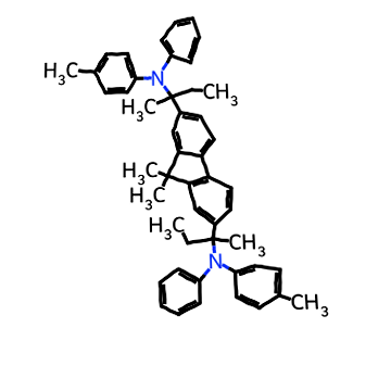 CCC(C)(c1ccc2c(c1)C(C)(C)c1cc(C(C)(CC)N(c3ccccc3)c3ccc(C)cc3)ccc1-2)N(c1ccccc1)c1ccc(C)cc1